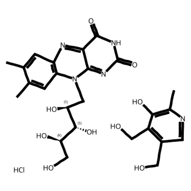 Cc1cc2nc3c(=O)[nH]c(=O)nc-3n(C[C@H](O)[C@H](O)[C@H](O)CO)c2cc1C.Cc1ncc(CO)c(CO)c1O.Cl